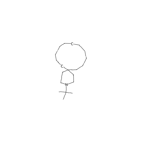 CC(C)(C)N1CCC2(CCCCCCCCCCC2)CC1